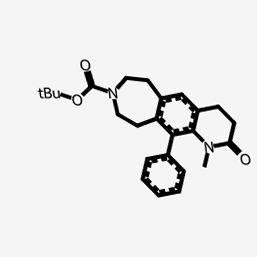 CN1C(=O)CCc2cc3c(c(-c4ccccc4)c21)CCN(C(=O)OC(C)(C)C)CC3